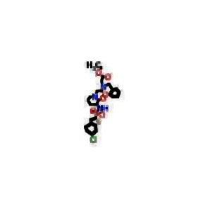 CCOC(=O)CN(Cc1ccccc1)C(=O)CN1CCC[C@H](NS(=O)(=O)c2cc3ccc(Cl)cc3s2)C1=O